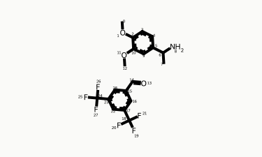 COc1ccc(C(C)N)cc1OC.O=Cc1cc(C(F)(F)F)cc(C(F)(F)F)c1